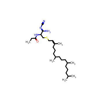 CCC(=O)NC(CSCC=C(C)CCCC(C)CCCC(C)CCCC(C)C)C(N)=NC#N